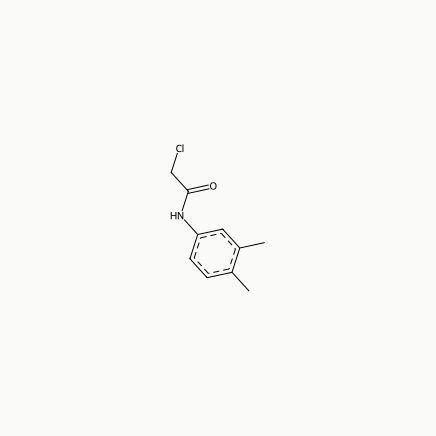 Cc1ccc(NC(=O)CCl)cc1C